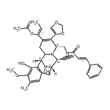 C/C=C(\OC(C)=O)C1=C(C2=COCO2)[C@H](CNC(=O)/C=C/c2ccccc2)N2C(C1)[C@H]1c3c(cc(C)c(OC)c3O)C[C@@H]([C@@H]2C#N)N1C